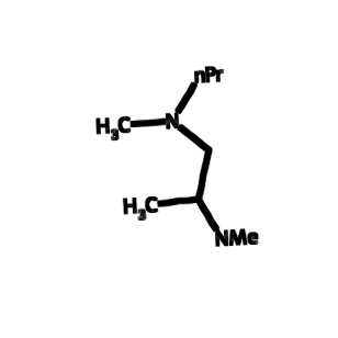 CCCN(C)CC(C)NC